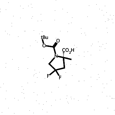 CC(C)(C)OC(=O)N1CC(F)(F)C[C@@]1(C)C(=O)O